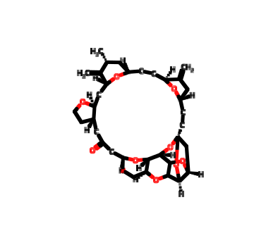 C=C1C[C@@H]2CC[C@@]34C[C@H]5OC6C(O[C@H]7CC[C@H](CC(=O)C[C@@H]8CCO[C@H]8C[C@H]8O[C@@H](CC[C@@H]1O2)C[C@@H](C)C8=C)O[C@@H]7[C@@H]6O3)[C@H]5O4